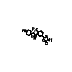 CCC1(CNc2cc(-c3n[nH]c(=O)o3)ccc2C(F)(F)F)CCNCC1